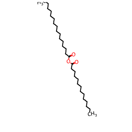 CCCCCCCCCCCCCCCC(=O)OC(=O)CCCCCCCCCCCCC